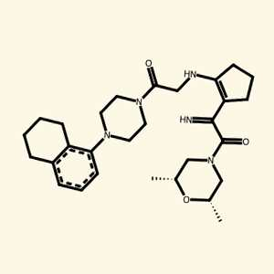 C[C@@H]1CN(C(=O)C(=N)C2=C(NCC(=O)N3CCN(c4cccc5c4CCCC5)CC3)CCC2)C[C@H](C)O1